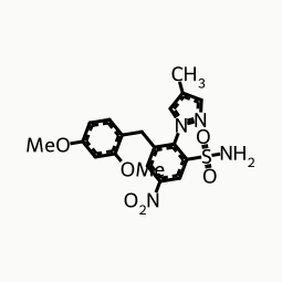 COc1ccc(Cc2cc([N+](=O)[O-])cc(S(N)(=O)=O)c2-n2cc(C)cn2)c(OC)c1